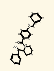 CC(=O)C(c1ccccc1)C1CCCCN1C(=O)c1ccc(OCc2ccccc2)cc1